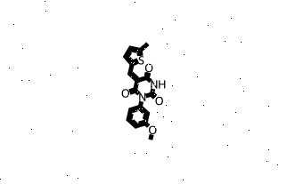 COc1cccc(N2C(=O)NC(=O)/C(=C\c3ccc(C)s3)C2=O)c1